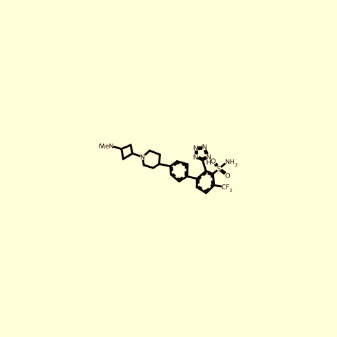 CNC1CC(N2CCC(c3ccc(-c4ccc(C(F)(F)F)c(S(N)(=O)=O)c4-c4nnn[nH]4)cc3)CC2)C1